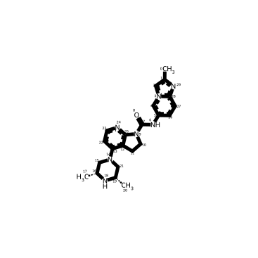 Cc1cn2cc(NC(=O)N3CCc4c(N5C[C@@H](C)N[C@@H](C)C5)ccnc43)ccc2n1